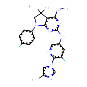 CNc1nc(Nc2cnc(-n3cnc(C)c3)c(F)c2)nc2c1C(C)(C)CN2c1ccc(F)cc1